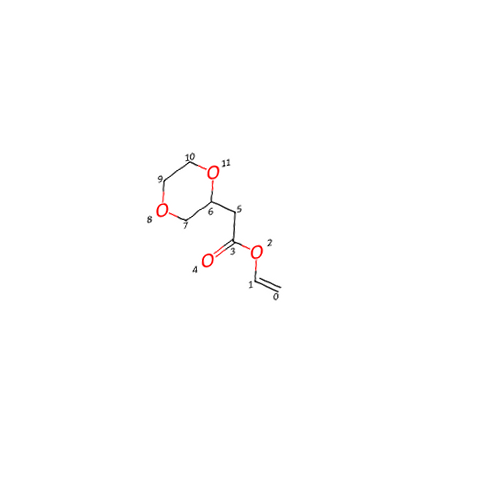 C=COC(=O)CC1COCCO1